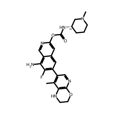 Cc1c(-c2cc3cc(OC(=O)N[C@H]4CCCN(C)C4)ncc3c(N)c2F)cnc2c1NCCO2